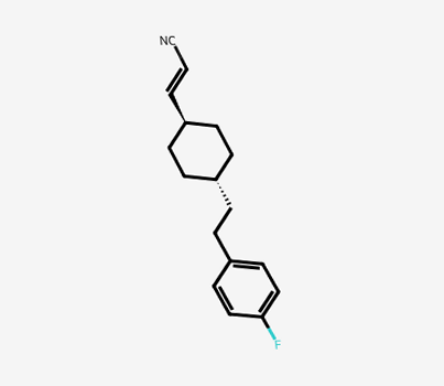 N#CC=C[C@H]1CC[C@H](CCc2ccc(F)cc2)CC1